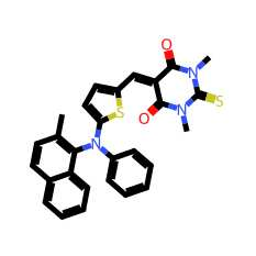 Cc1ccc2ccccc2c1N(c1ccccc1)c1ccc(C=C2C(=O)N(C)C(=S)N(C)C2=O)s1